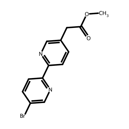 COC(=O)Cc1ccc(-c2ccc(Br)cn2)nc1